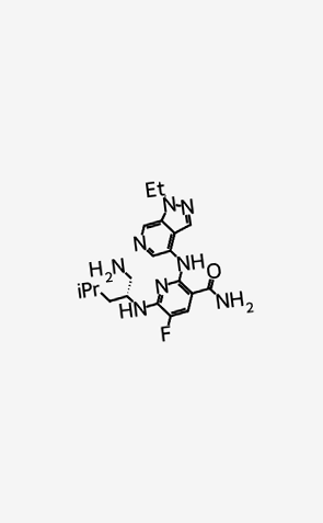 CCn1ncc2c(Nc3nc(N[C@@H](CN)CC(C)C)c(F)cc3C(N)=O)cncc21